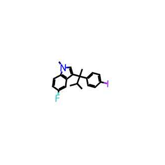 CC(C)C(C)(c1ccc(I)cc1)c1cn(C)c2ccc(F)cc12